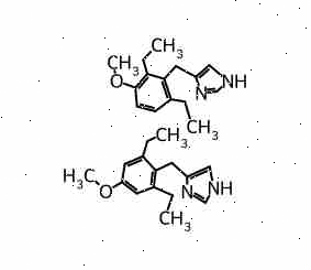 CCc1cc(OC)cc(CC)c1Cc1c[nH]cn1.CCc1ccc(OC)c(CC)c1Cc1c[nH]cn1